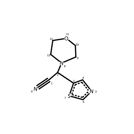 N#CC(c1cncs1)N1CCOCC1